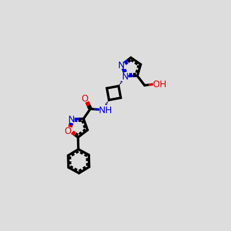 O=C(N[C@H]1C[C@@H](n2nccc2CO)C1)c1cc(-c2ccccc2)on1